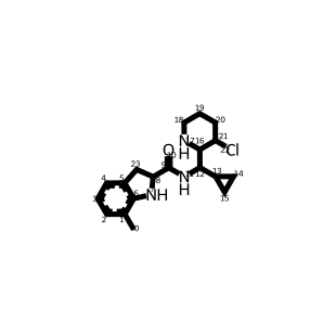 Cc1cccc2c1NC(C(=O)NC(C1CC1)C1NCCCC1Cl)C2